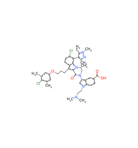 Cc1cc(OCCCc2c3n(c4c(-c5c(C)nn(C)c5C)c(Cl)ccc24)C(C)CN(c2cn(CCN(C)C)c4ccc(C(=O)O)cc24)C3=O)cc(C)c1Cl